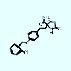 NC(=O)C1(CCc2ccc(OCc3ccccc3Cl)cc2)COC(=O)N1